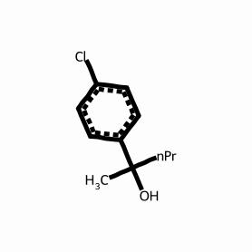 CCCC(C)(O)c1ccc(Cl)cc1